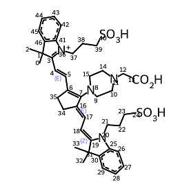 CC1(C)C(/C=C/C2=C(N3CCN(CC(=O)O)CC3)C(=C/C=C3\N(CCCS(=O)(=O)O)c4ccccc4C3(C)C)/CC2)=[N+](CCCS(=O)(=O)O)c2ccccc21